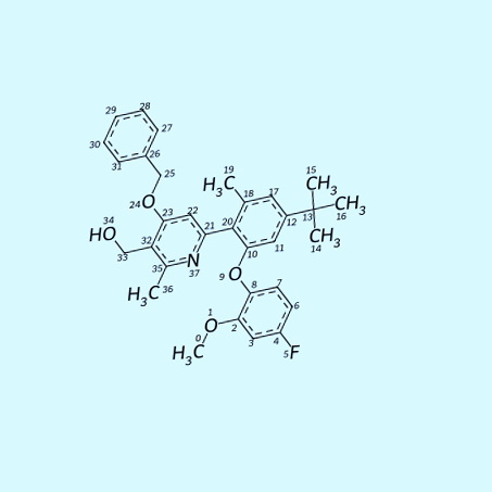 COc1cc(F)ccc1Oc1cc(C(C)(C)C)cc(C)c1-c1cc(OCc2ccccc2)c(CO)c(C)n1